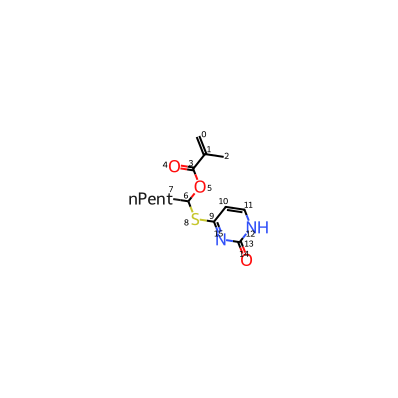 C=C(C)C(=O)OC(CCCCC)Sc1cc[nH]c(=O)n1